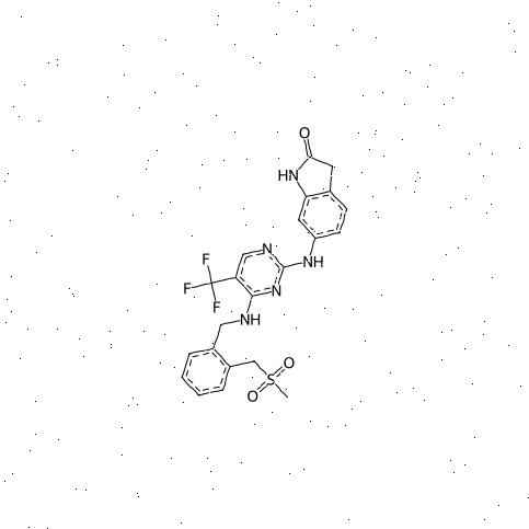 CS(=O)(=O)Cc1ccccc1CNc1nc(Nc2ccc3c(c2)NC(=O)C3)ncc1C(F)(F)F